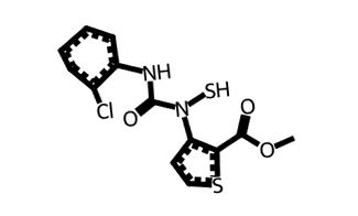 COC(=O)c1sccc1N(S)C(=O)Nc1ccccc1Cl